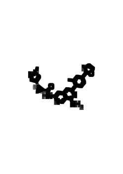 Cc1cc(-c2ncco2)ccc1-c1cc2cc(NC(=O)[C@H]3C[C@@H]3c3cnn(C)c3)ncc2c(N)n1